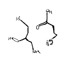 O=C(O)CS.OC(CS)CS